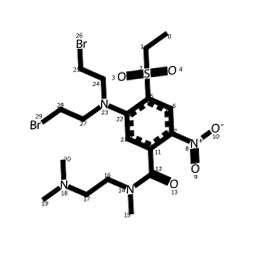 CCS(=O)(=O)c1cc([N+](=O)[O-])c(C(=O)N(C)CCN(C)C)cc1N(CCBr)CCBr